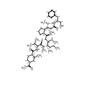 CC[C@H](C)[C@@H]([C@@H](CC(=O)N1CCC[C@H]1[C@H](OC)[C@@H](C)C(=O)N[C@H](CO)Cc1ccccc1)OC)N(C)C(=O)[C@@H](NC(=O)N1CCN(C(C)=O)C[C@@H]1C)C(C)C